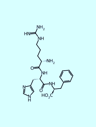 N=C(N)NCCC[C@H](N)C(=O)N[C@@H](Cc1c[nH]cn1)C(=O)N[C@@H](Cc1ccccc1)C(=O)O